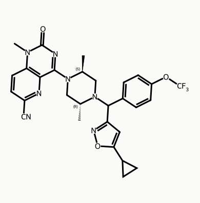 C[C@@H]1CN(c2nc(=O)n(C)c3ccc(C#N)nc23)[C@@H](C)CN1C(c1ccc(OC(F)(F)F)cc1)c1cc(C2CC2)on1